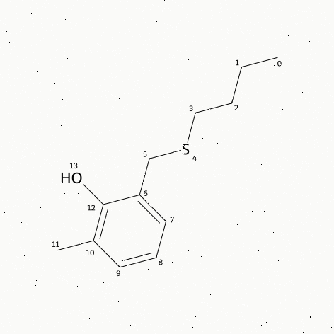 CCCCSCc1cccc(C)c1O